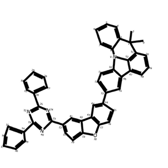 CC1(C)c2ccccc2-n2c3ccc(-c4ccc5oc6ccc(-c7nc(-c8ccccc8)nc(-c8ccccc8)n7)cc6c5c4)cc3c3cccc1c32